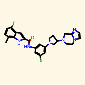 Cc1ccc(F)c2cc(C(=O)Nc3cc(F)cc(N4CCC(N5CCn6ccnc6C5)C4)c3)[nH]c12